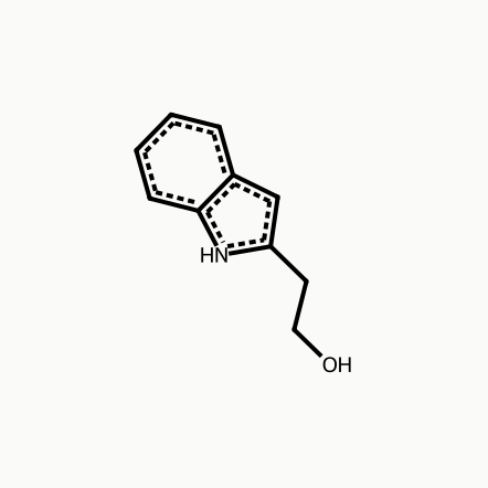 OCCc1cc2ccccc2[nH]1